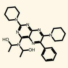 CC(O)N(c1nc(N2CCCCC2)nc2nc(N3CCCCC3)c(-c3ccccc3)nc12)C(C)O